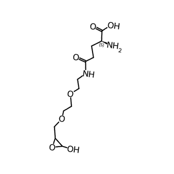 N[C@@H](CCC(=O)NCCOCCOCC1OC1O)C(=O)O